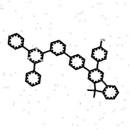 CC1(C)c2ccccc2-c2cc(-c3ccc(C#N)cc3)c(-c3ccc(-c4cccc(-c5nc(-c6ccccc6)nc(-c6ccccc6)n5)c4)cc3)cc21